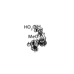 CC1COc2ccccc2N1C(=O)C(Cl)Cl.CCNc1nc(Cl)nc(NC(C)C)n1.CCc1cccc(C)c1N(C(=O)CCl)C(C)COC.CP(=O)(O)CCC(N)C(=O)O.Cc1nn(-c2cc(NS(C)(=O)=O)c(Cl)cc2Cl)c(=O)n1C(F)F